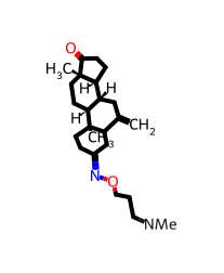 C=C1C[C@@H]2[C@H](CC[C@]3(C)C(=O)CC[C@@H]23)[C@@]2(C)CC/C(=N/OCCCNC)CC12